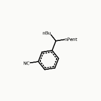 CCCCCC(CCCC)c1cccc(C#N)c1